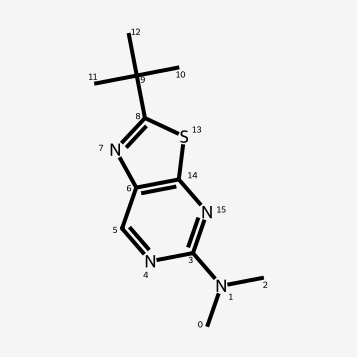 CN(C)c1ncc2nc(C(C)(C)C)sc2n1